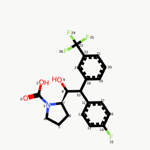 O=C(O)N1CCC[C@@H]1C(O)C(c1ccc(F)cc1)c1cccc(C(F)(F)F)c1